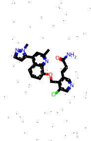 Cc1cc(-c2ccnn2C)c2cccc(OCc3c(Cl)cncc3/C=C/C(N)=O)c2n1